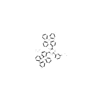 N#Cc1cccc(-c2nc(-c3cccc([Si](c4ccccc4)(c4ccccc4)c4ccccc4)c3)nc(-c3cc(C#N)cc([Si](c4ccccc4)(c4ccccc4)c4ccccc4)c3)n2)c1